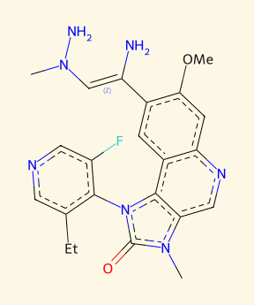 CCc1cncc(F)c1-n1c(=O)n(C)c2cnc3cc(OC)c(/C(N)=C/N(C)N)cc3c21